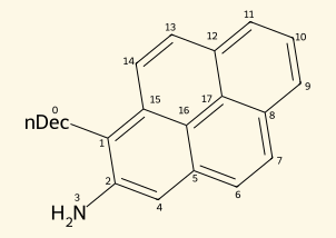 CCCCCCCCCCc1c(N)cc2ccc3cccc4ccc1c2c34